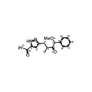 COC(C(=O)C(C)Cc1cc(C(=O)C(C)C)[nH]n1)c1ccccc1